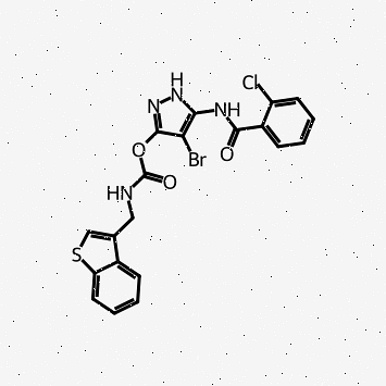 O=C(NCc1csc2ccccc12)Oc1n[nH]c(NC(=O)c2ccccc2Cl)c1Br